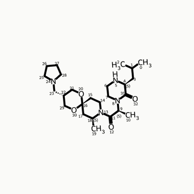 CC(C)C[C@@H]1NCCN([C@@H](C)C(=O)N2CC[C@]3(C[C@@H]2C)OC[C@@H](CN2CCCC2)CO3)C1=O